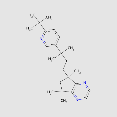 CC(C)(C)c1ccc(C(C)(C)CC[C@]2(C)CC(C)(C)c3nccnc32)cn1